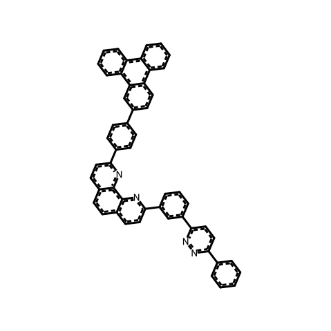 c1ccc(-c2ccc(-c3cccc(-c4ccc5ccc6ccc(-c7ccc(-c8ccc9c%10ccccc%10c%10ccccc%10c9c8)cc7)nc6c5n4)c3)nn2)cc1